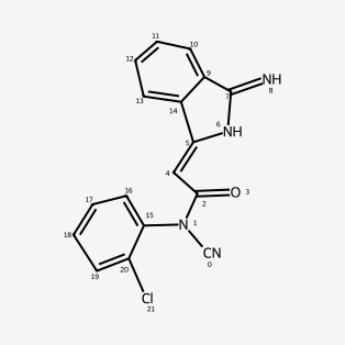 N#CN(C(=O)/C=C1\NC(=N)c2ccccc21)c1ccccc1Cl